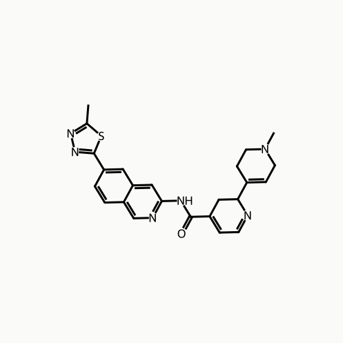 Cc1nnc(-c2ccc3cnc(NC(=O)C4=CC=NC(C5=CCN(C)CC5)C4)cc3c2)s1